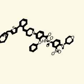 CN(c1ccc(S(=O)(=O)NC(=O)c2ccc(N3CCC(=Cc4ccccc4-c4ccc(CN5C6CCCC5CC6)s4)CC3)cc2Oc2ccccc2)cc1[N+](=O)[O-])C1CCOCC1